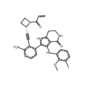 C=CC(=O)N1CC[C@H]1C#Cc1c(-c2[nH]c3c(c2Nc2cccc(F)c2OC)C(=O)NCC3)ccnc1N